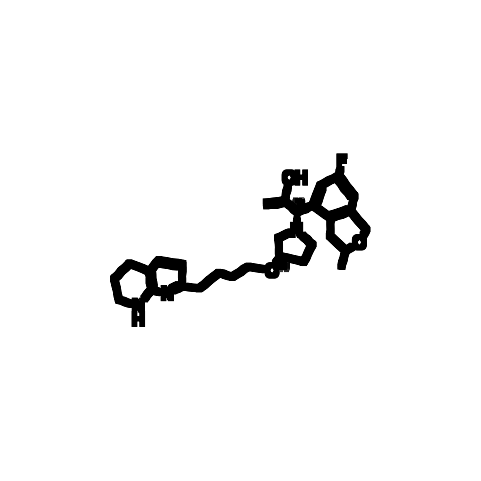 C=C(O)[C@@H](c1cc(F)cc2c1CC(C)OC2)N1CC[C@@H](OCCCCc2ccc3c(n2)NCCC3)C1